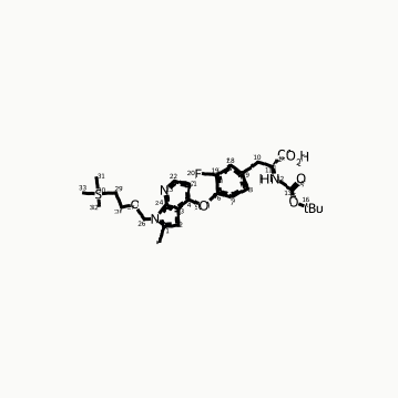 Cc1cc2c(Oc3ccc(C[C@H](NC(=O)OC(C)(C)C)C(=O)O)cc3F)ccnc2n1COCCS(C)(C)C